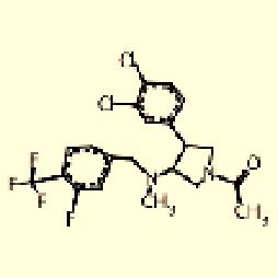 CC(=O)N1CC(c2ccc(Cl)c(Cl)c2)C(N(C)Cc2ccc(C(F)(F)F)c(F)c2)C1